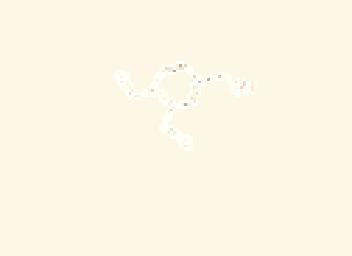 O=Cc1ccc(CO)cc1C=O